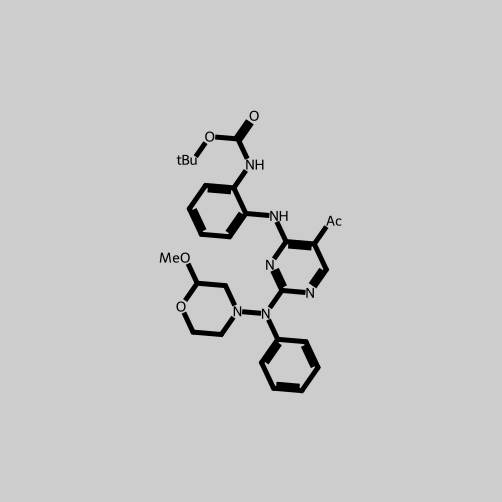 COC1CN(N(c2ccccc2)c2ncc(C(C)=O)c(Nc3ccccc3NC(=O)OC(C)(C)C)n2)CCO1